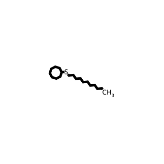 CCCCCCCCCCCSC1CCCCCCC1